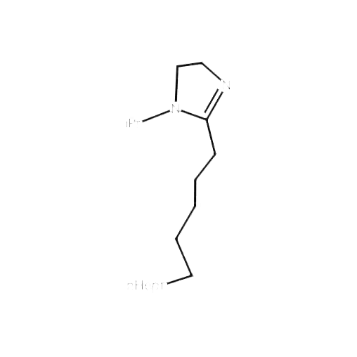 CCCCCCCCCCCCC1=NCCN1C(C)C